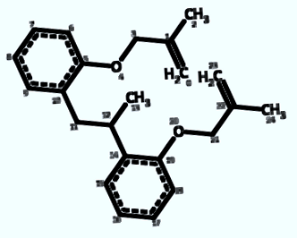 C=C(C)COc1ccccc1CC(C)c1ccccc1OCC(=C)C